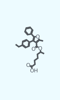 CCc1ccc(-c2c(-c3ccccc3)oc(C)c2C(=O)OC(C)CCCCC(=O)O)cc1